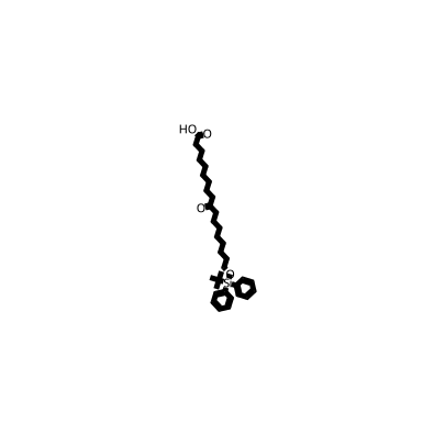 CC(C)(C)[Si](OCCCCCCCCC(=O)CCCCCCCCC(=O)O)(c1ccccc1)c1ccccc1